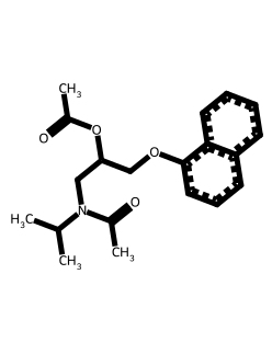 CC(=O)OC(COc1cccc2ccccc12)CN(C(C)=O)C(C)C